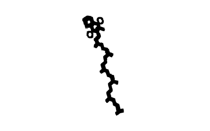 CC(C)=CCCC(C)=CCCC(C)=CCCC(C)=CCCC(C)=CCCC(C)=CCC1=C(C)C(=O)c2ccccc2C1=O